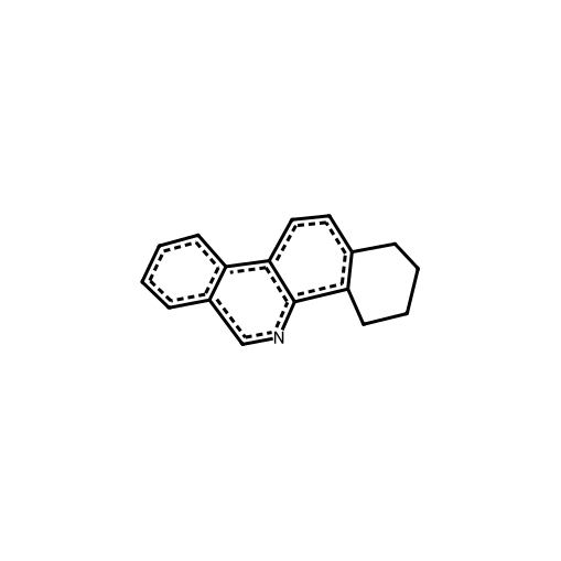 c1ccc2c(c1)cnc1c3c(ccc12)CCCC3